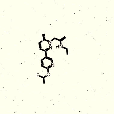 C=C(CN1N=C(c2ccc(OC(C)F)nc2)C=CC1=C)NCC